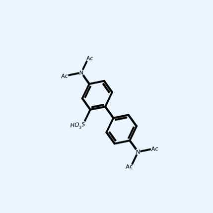 CC(=O)N(C(C)=O)c1ccc(-c2ccc(N(C(C)=O)C(C)=O)cc2S(=O)(=O)O)cc1